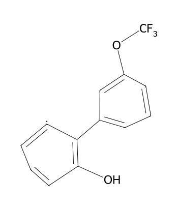 Oc1ccc[c]c1-c1cccc(OC(F)(F)F)c1